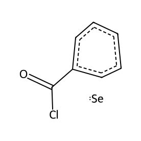 O=C(Cl)c1ccccc1.[Se]